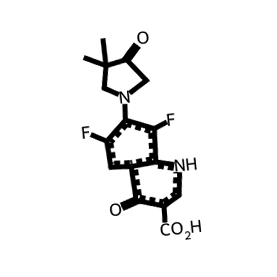 CC1(C)CN(c2c(F)cc3c(=O)c(C(=O)O)c[nH]c3c2F)CC1=O